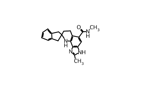 CNC(=O)c1cc2[nH]c(C)nc2c2c1CCC1(Cc3ccccc3C1)N2